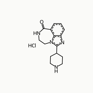 Cl.O=C1NCCn2c(C3CCNCC3)nc3cccc1c32